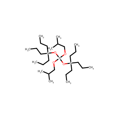 CCC[Si](CCC)(CCC)[O][Ti]([O]CC(C)C)([O]CC(C)C)[O][Si](CCC)(CCC)CCC